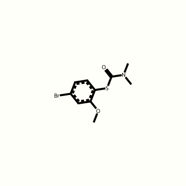 COc1cc(Br)ccc1SC(=O)N(C)C